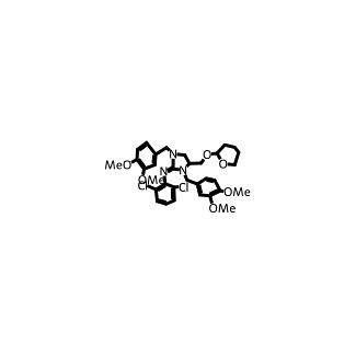 COc1ccc(CN2CC(COC3CCCCO3)N(Cc3ccc(OC)c(OC)c3)C2=Nc2c(Cl)cccc2Cl)cc1OC